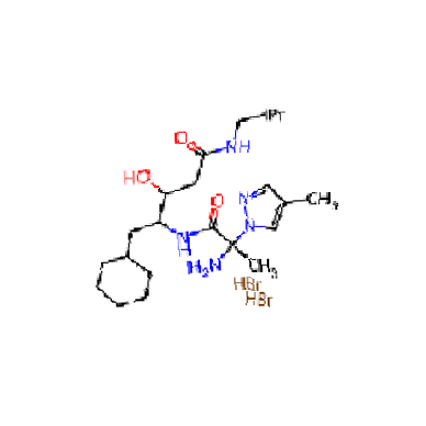 Br.Br.Cc1cnn([C@](C)(N)C(=O)NC(CC2CCCCC2)C(O)CC(=O)NCC(C)C)c1